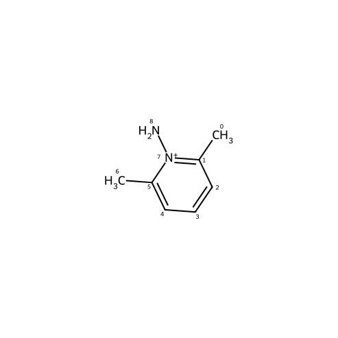 Cc1cccc(C)[n+]1N